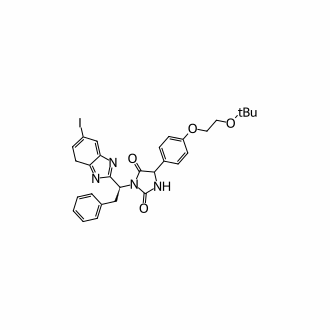 CC(C)(C)OCCOc1ccc(C2NC(=O)N([C@@H](Cc3ccccc3)C3=NC4=CC(I)=CCC4=N3)C2=O)cc1